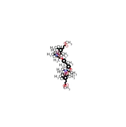 COC(=O)CCc1cc(C(C)(C)C)c(OP2OC(C(C)Oc3ccc(C(C)(C)c4ccc(OC(C)C5CN(C(C)(C)C)P(Oc6c(C(C)(C)C)cc(CCC(=O)OC)cc6C(C)(C)C)O5)cc4)cc3)CN2C(C)(C)C)c(C(C)(C)C)c1